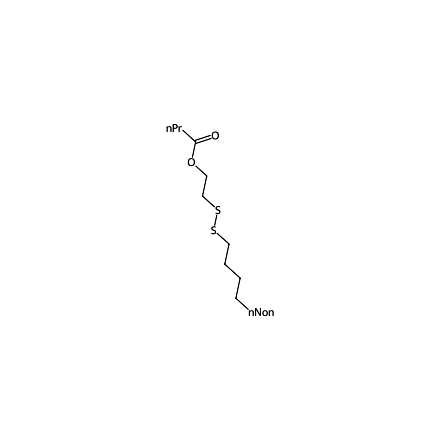 CCCCCCCCCCCCCSSCCOC(=O)CCC